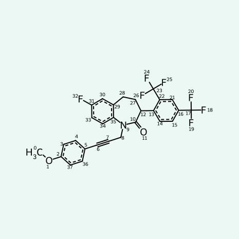 COc1ccc(C#CCN2C(=O)C(c3ccc(C(F)(F)F)cc3C(F)(F)F)CCc3cc(F)ccc32)cc1